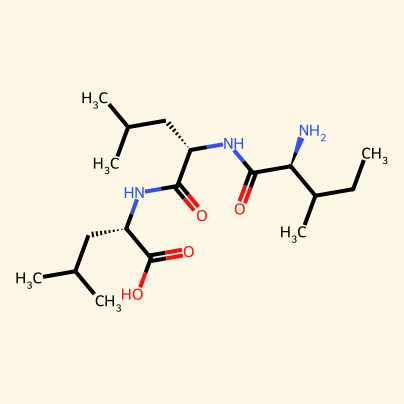 CCC(C)[C@H](N)C(=O)N[C@@H](CC(C)C)C(=O)N[C@@H](CC(C)C)C(=O)O